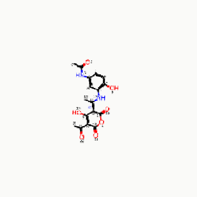 CC(=O)Nc1ccc(O)c(N/C(C)=C2\C(=O)OC(=O)C(C(C)=O)=C2O)c1